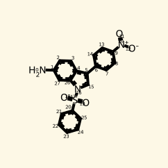 Nc1ccc2c(-c3ccc([N+](=O)[O-])cc3)cn(S(=O)(=O)c3ccccc3)c2c1